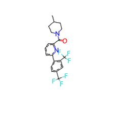 CC1CCN(C(=O)c2cccc(-c3ccc(C(F)(F)F)cc3C(F)(F)F)n2)CC1